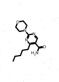 CCCCCc1nc(N2CCOCC2)ncc1C(N)=O